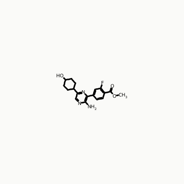 COC(=O)c1ccc(-c2nc(C3CCC(O)CC3)cnc2N)cc1F